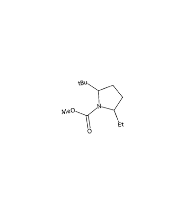 CCC1CCC(C(C)(C)C)N1C(=O)OC